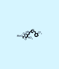 CCCn1c(/C=C/c2cnn(Cc3ccccc3C(F)(F)F)c2)c([N+](=O)[O-])c(=O)n(C(C)OC)c1=O